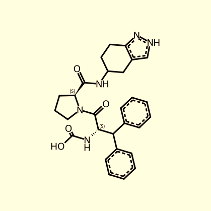 O=C(O)N[C@H](C(=O)N1CCC[C@H]1C(=O)NC1CCc2n[nH]cc2C1)C(c1ccccc1)c1ccccc1